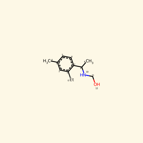 CCc1cc(C)ccc1C(C)NCO